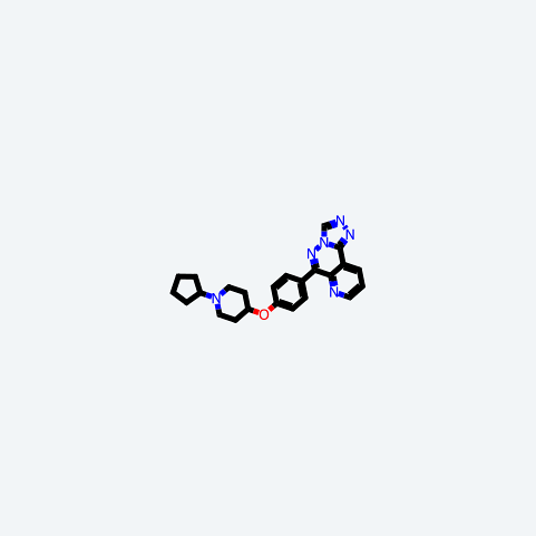 c1cnc2c(-c3ccc(OC4CCN(C5CCCC5)CC4)cc3)nn3cnnc3c2c1